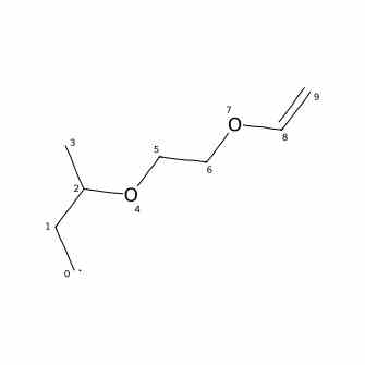 [CH2]CC(C)OCCOC=C